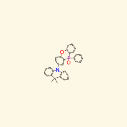 CC1(C)c2ccccc2N(c2ccc3c(c2)P(=O)(c2ccccc2)c2ccccc2O3)c2ccccc21